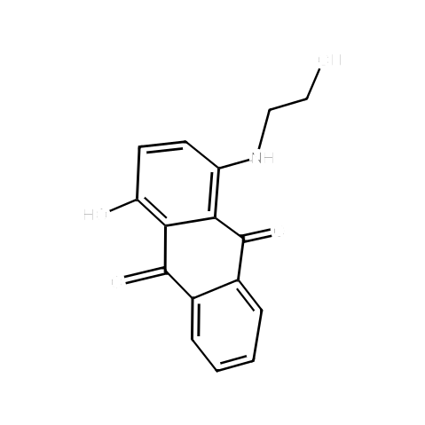 O=C1c2ccccc2C(=O)c2c(NCCO)ccc(O)c21